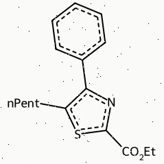 CCCCCc1sc(C(=O)OCC)nc1-c1ccccc1